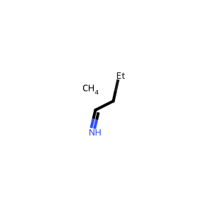 C.CCCC=N